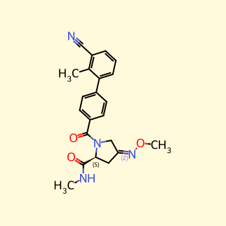 CNC(=O)[C@@H]1C/C(=N/OC)CN1C(=O)c1ccc(-c2cccc(C#N)c2C)cc1